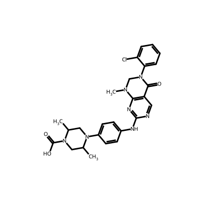 CC1CN(c2ccc(Nc3ncc4c(n3)N(C)CN(c3ccccc3Cl)C4=O)cc2)C(C)CN1C(=O)O